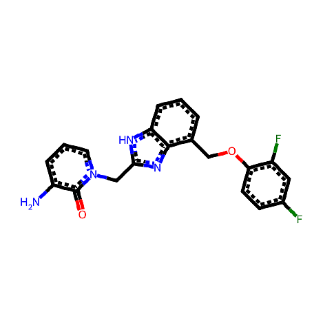 Nc1cccn(Cc2nc3c(COc4ccc(F)cc4F)cccc3[nH]2)c1=O